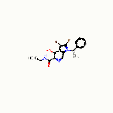 C[C@@H](c1ccccc1)n1c(Br)c(Br)c2c(O)c(C(=O)NCC(=O)O)ncc21